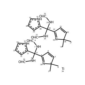 CC1(C)C=CC(C(NC=O)(NC=O)c2ccc[nH]2)=N1.CC1(C)C=CC(C(NC=O)(NC=O)c2ccc[nH]2)=N1.[Ti]